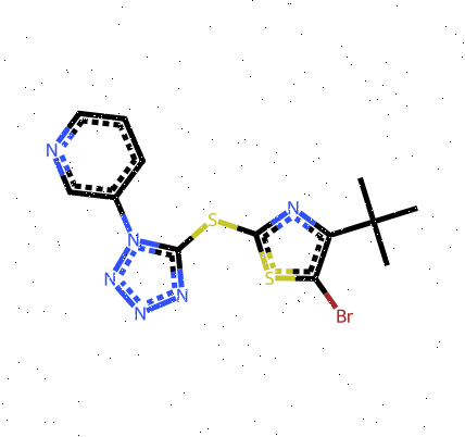 CC(C)(C)c1nc(Sc2nnnn2-c2cccnc2)sc1Br